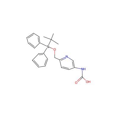 CC(C)(C)[Si](OCc1ccc(NC(=O)O)cn1)(c1ccccc1)c1ccccc1